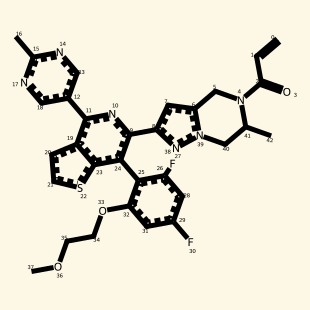 C=CC(=O)N1Cc2cc(-c3nc(-c4cnc(C)nc4)c4ccsc4c3-c3c(F)cc(F)cc3OCCOC)nn2CC1C